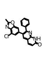 Cc1nc2c(Cl)cc(-c3cc4ccc(=O)[nH]c4nc3-c3ccccc3)cc2o1